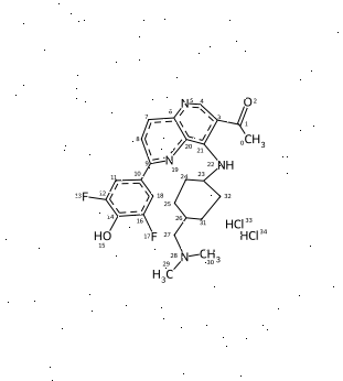 CC(=O)c1cnc2ccc(-c3cc(F)c(O)c(F)c3)nc2c1NC1CCC(CN(C)C)CC1.Cl.Cl